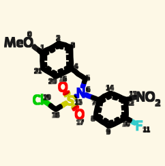 COc1ccc(CN(c2ccc(F)c([N+](=O)[O-])c2)S(=O)(=O)CCl)cc1